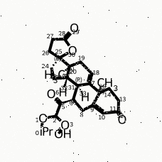 CC(C)OC(OO)C(=O)[C@@H]1CC2=CC(=O)CC[C@]2(C)C2=CC[C@@]3(C)[C@@H](CC[C@@]34CCC(=O)O4)[C@@H]21